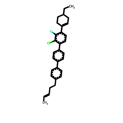 C/C=C/CCc1ccc(-c2ccc(-c3ccc(C4=CCC(CC)CC4)c(F)c3Cl)cc2)cc1